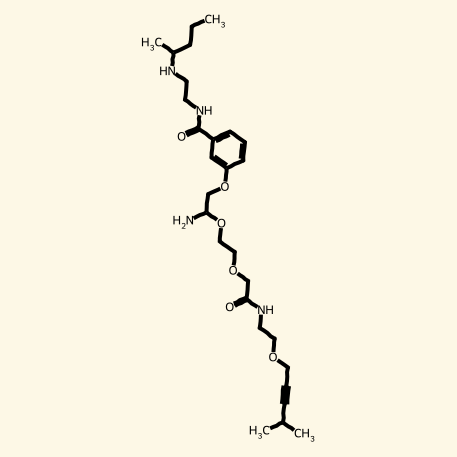 CCCC(C)NCCNC(=O)c1cccc(OCC(N)OCCOCC(=O)NCCOCC#CC(C)C)c1